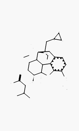 CO[C@@]12CC[C@H](N[C@@H](C(=O)O)C(C)C)[C@@H]3Oc4c(O)ccc5c4[C@@]31CCN(CC1CC1)[C@@H]2C5.Cl.Cl